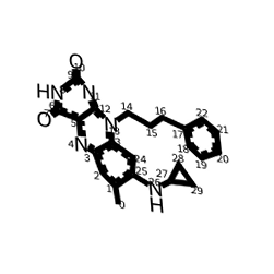 Cc1cc2nc3c(=O)[nH]c(=O)nc-3n(CCCc3ccccc3)c2cc1NC1CC1